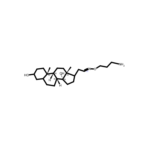 C[C@]12CCC(O)CC1CC[C@@H]1[C@H]2CC[C@]2(C)C(C/C=N/OCCCN)CC[C@@]12O